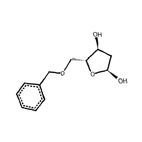 O[C@@H]1C[C@H](O)[C@@H](COCc2ccccc2)O1